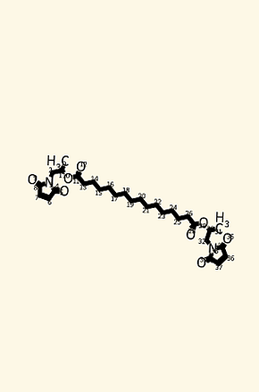 CC(CN1C(=O)C=CC1=O)OC(=O)CCCCCCCCCCCCCCC(=O)OC(C)CN1C(=O)C=CC1=O